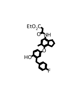 CCOC(=O)CC(=O)Nc1cc(C)c(Oc2ccc(O)c(Cc3ccc(F)cc3)c2)c2c1CCC2